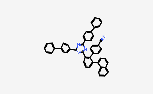 N#Cc1ccc(-c2c(-c3nc(-c4ccc(-c5ccccc5)cc4)nc(-c4ccc(-c5ccccc5)cc4)n3)cccc2-c2cccc3ccccc23)cc1